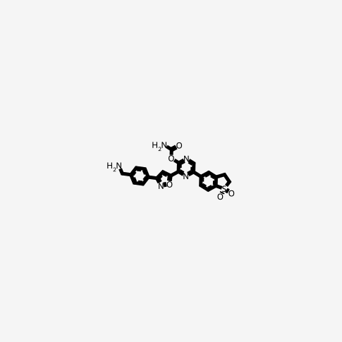 NCc1ccc(-c2cc(-c3nc(-c4ccc5c(c4)CCS5(=O)=O)cnc3OC(N)=O)on2)cc1